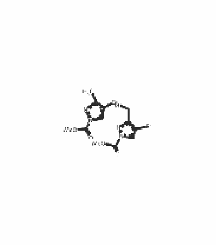 COC(=O)n1cc(Br)c(C)n1.COC(=O)n1cc(Br)c(CBr)n1